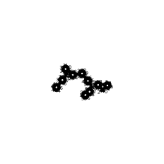 CC1(C)c2ccccc2-c2ccc(N(c3ccc(-c4cccc(-c5ccc6c(c5)c5ccccc5n6-c5ccc(-c6ccccc6)cc5)c4)cc3)c3ccc4ccccc4c3)cc21